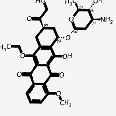 CCOc1c2c(c(O)c3c1C(=O)c1cccc(OC)c1C3=O)[C@@H](O[C@H]1C[C@H](N)[C@@H](O)[C@H](C)O1)C[C@H](C(=O)CO)C2